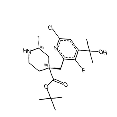 C[C@@H]1C[C@](Cc2nc(Cl)cc(C(C)(C)O)c2F)(C(=O)OC(C)(C)C)CCN1